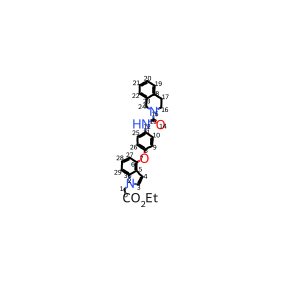 CCOC(=O)Cn1ccc2c(Oc3ccc(NC(=O)N4CCc5ccccc5C4)cc3)cccc21